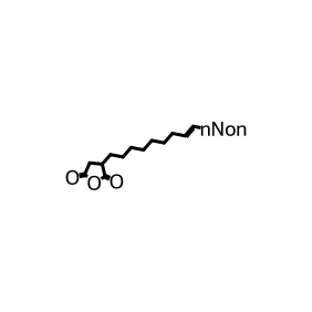 CCCCCCCCC/C=C/CCCCCCCC1CC(=O)OC1=O